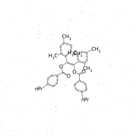 CCCc1ccc(C(=O)OC(=C(OC(=O)c2ccc(CCC)cc2)c2c(C)cc(C)cc2C)c2c(C)cc(C)cc2C)cc1